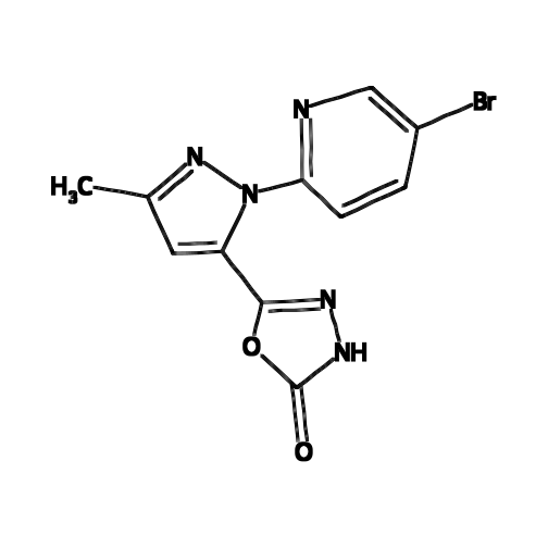 Cc1cc(-c2n[nH]c(=O)o2)n(-c2ccc(Br)cn2)n1